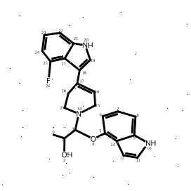 CC(O)C(Oc1cccc2[nH]ccc12)N1CC=C(c2c[nH]c3cccc(F)c23)CC1